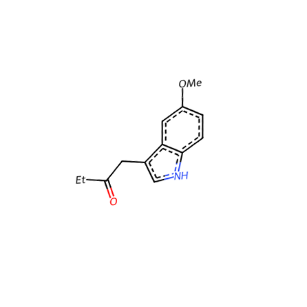 CCC(=O)Cc1c[nH]c2ccc(OC)cc12